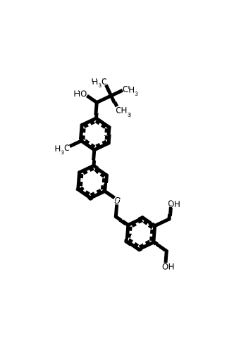 Cc1cc(C(O)C(C)(C)C)ccc1-c1cccc(OCc2ccc(CO)c(CO)c2)c1